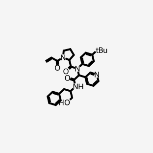 C=CC(=O)N1CCCC1C(=O)N(c1ccc(C(C)(C)C)cc1)C(C(=O)NC(CO)Cc1ccccc1)c1cccnc1